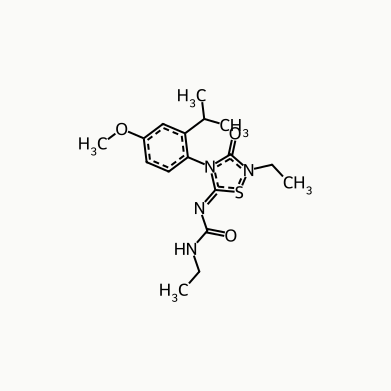 CCNC(=O)/N=c1\sn(CC)c(=O)n1-c1ccc(OC)cc1C(C)C